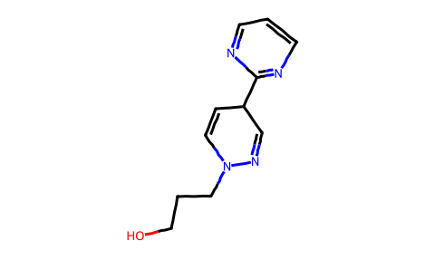 OCCCN1C=CC(c2ncccn2)C=N1